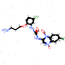 NCCCOc1ccc(Cl)cc1NC(=O)Nc1c[n+]([O-])c2cc(Cl)ccc2[n+]1[O-]